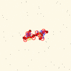 O=C1C(=Cc2cc3c4nn(C(=O)OCc5ccccc5)nc4c4cc(/C=C5\C(=O)c6ccc(-c7ccc8c(=O)/c(=N\c9cc%10c%11nn(C(=O)OCc%12ccccc%12)nc%11c%11cc(N=c%12c(=O)c%13ccccc%13c%12=O)sc%11c%10s9)c(=O)c8c7)cc6C5=O)sc4c3s2)C(=O)c2ccccc21